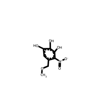 COCc1cc(O)c(O)c(O)c1[N+](=O)[O-]